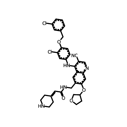 N#Cc1cnc2cc(OC3CCOC3)c(CNC(=O)C=C3CCNCC3)cc2c1Nc1ccc(OCc2cccc(Cl)c2)c(Cl)c1